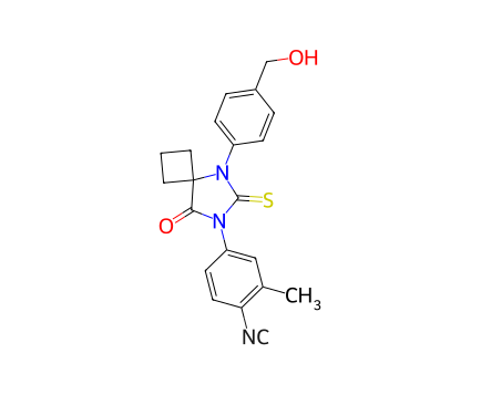 [C-]#[N+]c1ccc(N2C(=O)C3(CCC3)N(c3ccc(CO)cc3)C2=S)cc1C